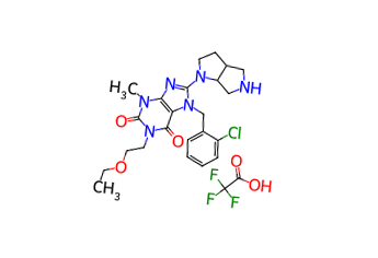 CCOCCn1c(=O)c2c(nc(N3CCC4CNCC43)n2Cc2ccccc2Cl)n(C)c1=O.O=C(O)C(F)(F)F